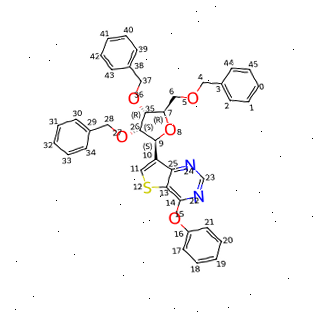 c1ccc(COC[C@H]2O[C@@H](c3csc4c(Oc5ccccc5)ncnc34)[C@H](OCc3ccccc3)[C@@H]2OCc2ccccc2)cc1